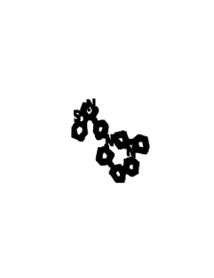 C1=CC2Sc3cncc(-c4ccc(N(c5cccc(-c6ccccc6)c5)c5ccc6c7ccccc7n(-c7ccccc7)c6c5)cc4)c3C2C=C1